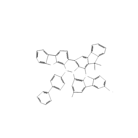 CC(C)(C)c1ccc2c(c1)c1cc(C(C)(C)C)cc3c1n2-c1c2c(cc4c1C(C)(C)c1ccccc1-4)-c1ccc4c(oc5ccccc54)c1N(c1ccc(-c4ccccc4)cc1)B23